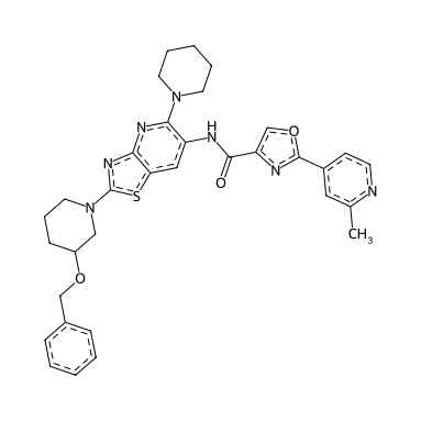 Cc1cc(-c2nc(C(=O)Nc3cc4sc(N5CCCC(OCc6ccccc6)C5)nc4nc3N3CCCCC3)co2)ccn1